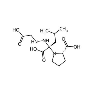 CC(C)C[C@](NNCC(=O)O)(C(=O)O)N1CCC[C@H]1C(=O)O